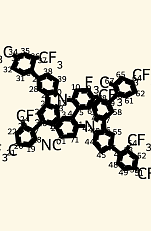 N#Cc1ccc(-c2cc(C(F)(F)F)ccc2-n2c3ccc(-c4ccc(C(F)(F)F)cc4C(F)(F)F)cc3c3cc(-c4ccc(C(F)(F)F)cc4C(F)(F)F)ccc32)c(-n2c3ccc(-c4ccc(C(F)(F)F)cc4C(F)(F)F)cc3c3cc(-c4ccc(C(F)(F)F)cc4C(F)(F)F)ccc32)c1